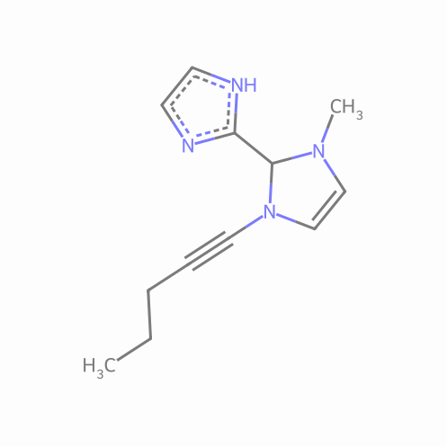 CCCC#CN1C=CN(C)C1c1ncc[nH]1